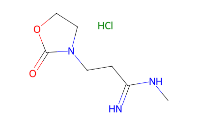 CNC(=N)CCN1CCOC1=O.Cl